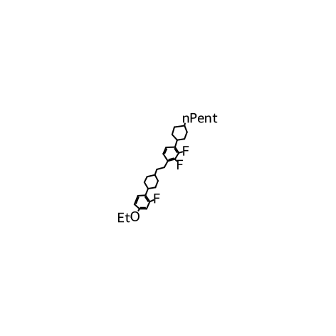 CCCCCC1CCC(c2ccc(CCC3CCC(c4ccc(OCC)cc4F)CC3)c(F)c2F)CC1